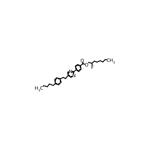 CCCCCCC(F)COC(=O)c1ccc(-c2ncc(CCc3ccc(CCCCC)cc3)cn2)cc1